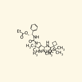 CCC(=O)OC[C@@H](NC(=O)N1CC2=C(NN(C)C2NC(=O)C2([Si](C)(C)C)CCC2)C1(C)C)c1ccccc1